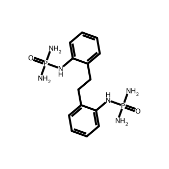 NP(N)(=O)Nc1ccccc1CCc1ccccc1NP(N)(N)=O